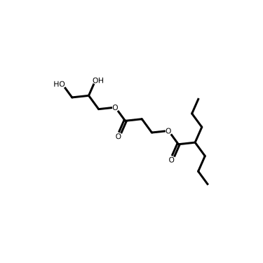 CCCC(CCC)C(=O)OCCC(=O)OCC(O)CO